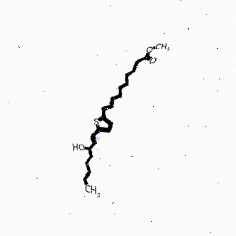 CCCCCC(O)/C=C/c1ccc(CCCCCCCCCC(=O)OC)s1